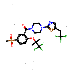 CC(C)(Oc1ccc(S(C)(=O)=O)cc1C(=O)N1CCN(c2ncc(CC(F)(F)F)s2)CC1)C(F)(F)F